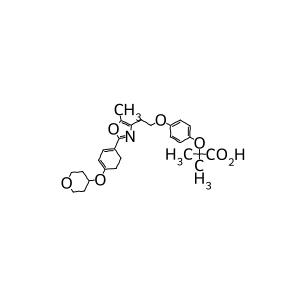 Cc1oc(C2=CC=C(OC3CCOCC3)CC2)nc1CCOc1ccc(OC(C)(C)C(=O)O)cc1